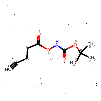 C#CCCC(=O)ONC(=O)OC(C)(C)C